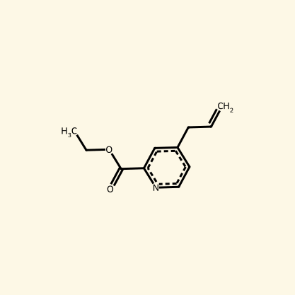 C=CCc1ccnc(C(=O)OCC)c1